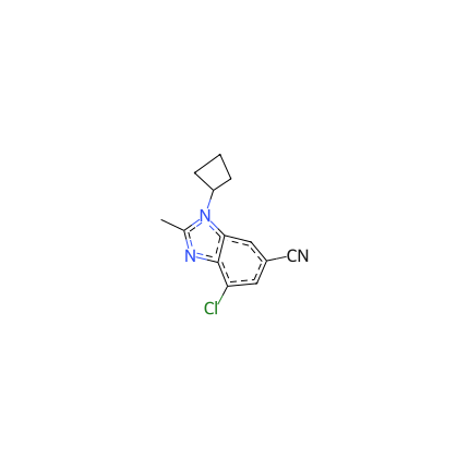 Cc1nc2c(Cl)cc(C#N)cc2n1C1CCC1